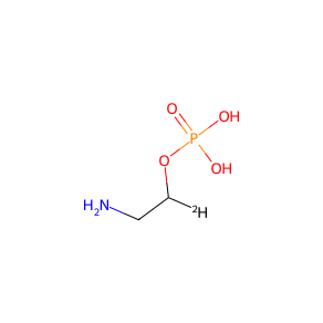 [2H]C(CN)OP(=O)(O)O